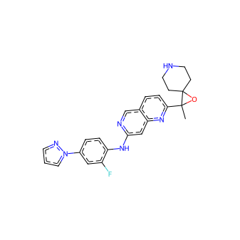 CC1(c2ccc3cnc(Nc4ccc(-n5cccn5)cc4F)cc3n2)OC12CCNCC2